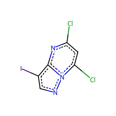 Clc1cc(Cl)n2ncc(I)c2n1